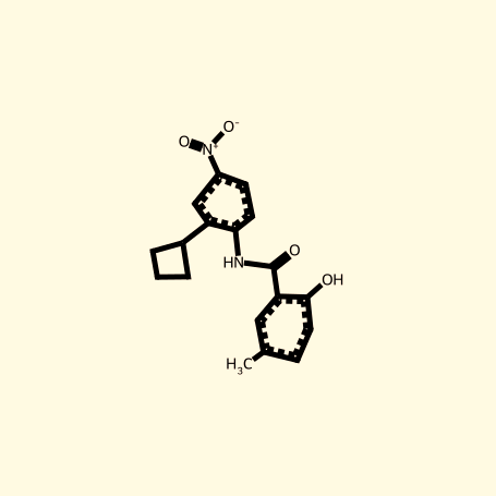 Cc1ccc(O)c(C(=O)Nc2ccc([N+](=O)[O-])cc2C2CCC2)c1